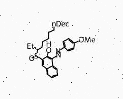 CCCCCCCCCCCCCCCC(CC)[S+]([O-])c1cc2ccccc2c(N=Nc2ccc(OC)cc2)c1O